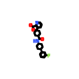 O=C1OC2(CCC(C(=O)N[C@H]3CC[C@H](c4cccc(F)c4)CC3)CC2)c2cccnc21